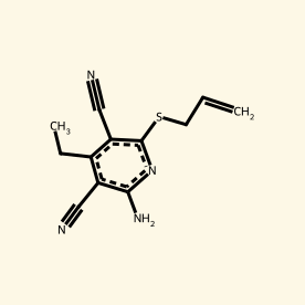 C=CCSc1nc(N)c(C#N)c(CC)c1C#N